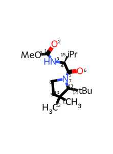 COC(=O)N[C@H](C(=O)N1CCC(C)(C)C1C(C)(C)C)C(C)C